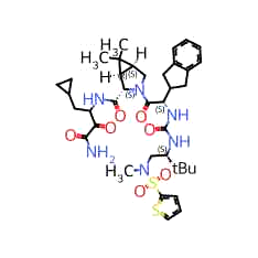 CN(C[C@@H](NC(=O)N[C@H](C(=O)N1C[C@H]2[C@@H]([C@H]1C(=O)NC(CC1CC1)C(=O)C(N)=O)C2(C)C)C1Cc2ccccc2C1)C(C)(C)C)S(=O)(=O)c1cccs1